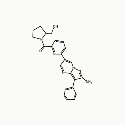 Nc1nn2cc(-c3cccc(C(=O)N4CCCC4CO)n3)cnc2c1-c1ccccn1